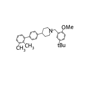 COc1ccc(C(C)(C)C)cc1CN1CCC(c2ccc(-c3cccc(C)c3C)cc2)CC1